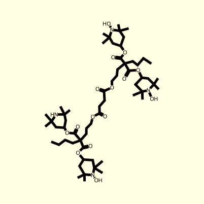 CCCCC(CCCOC(=O)CCC(=O)OCCCC(CCCC)(C(=O)OC1CC(C)(C)N(O)C(C)(C)C1)C(=O)OC1CC(C)(C)N(O)C(C)(C)C1)(C(=O)OC1CC(C)(C)NC(C)(C)C1)C(=O)OC1CC(C)(C)N(O)C(C)(C)C1